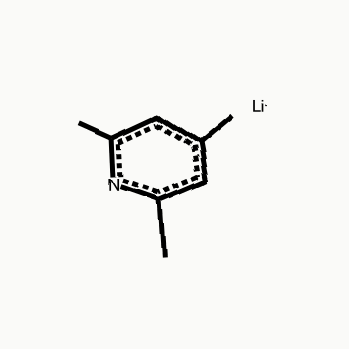 Cc1cc(C)nc(C)c1.[Li]